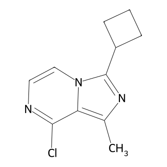 Cc1nc(C2CCC2)n2ccnc(Cl)c12